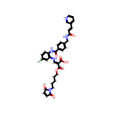 O=C(/C=C/c1cccnc1)NCc1ccc(C(=O)Nc2ccc(F)cc2N/C=C(\C(=O)O)C(=O)OCCCCCN2C(=O)C=CC2=O)cc1